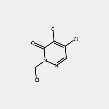 O=c1c(Cl)c(Cl)cnn1CCl